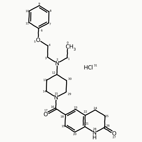 CCN(CCOc1ccccc1)C1CCN(C(=O)c2ccc3c(c2)CCC(=O)N3)CC1.Cl